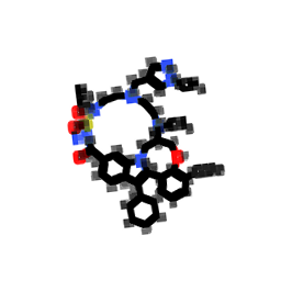 COc1cccc2c1OC[C@H]1Cn3c-2c(C2CCCCC2)c2ccc(cc23)C(=O)NS(=O)(=O)N(C)CCN(Cc2cnn(C)c2)CCN1C